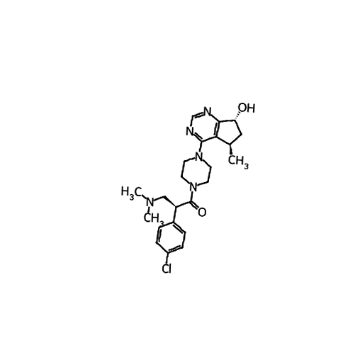 C[C@@H]1C[C@@H](O)c2ncnc(N3CCN(C(=O)[C@H](CN(C)C)c4ccc(Cl)cc4)CC3)c21